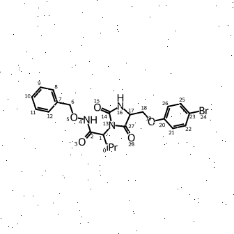 CC(C)C(C(=O)NOCc1ccccc1)N1C(=O)NC(COc2ccc(Br)cc2)C1=O